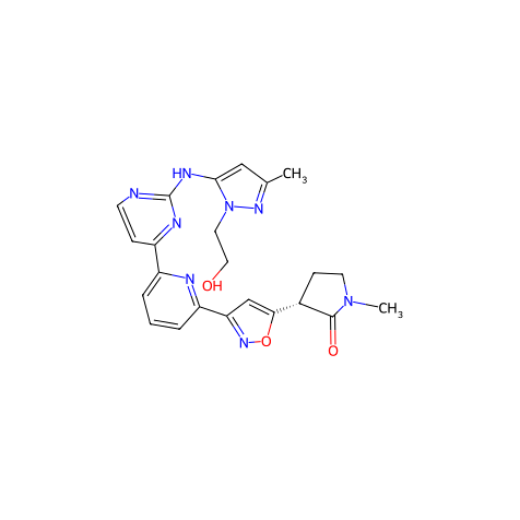 Cc1cc(Nc2nccc(-c3cccc(-c4cc([C@@H]5CCN(C)C5=O)on4)n3)n2)n(CCO)n1